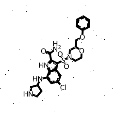 NC(=O)c1[nH]c2c(NC3CCNC3)cc(Cl)cc2c1S(=O)(=O)N1CCOC(COc2ccccc2)C1